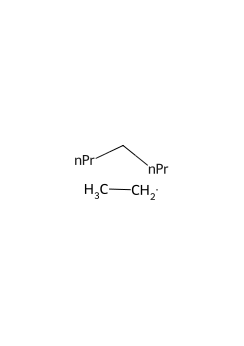 [CH2]C.[CH2]CCCCCC